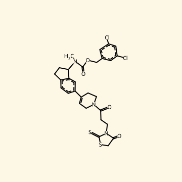 CN(C(=O)OCc1cc(Cl)cc(Cl)c1)C1CCc2ccc(C3=CCN(C(=O)CCN4C(=O)CSC4=S)CC3)cc21